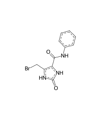 O=C(Nc1ccccc1)c1[nH]c(=O)[nH]c1CBr